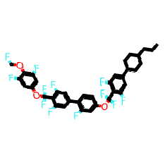 CCCC1CCC(c2cc(F)c(C(F)(F)Oc3ccc(-c4cc(F)c(C(F)(F)Oc5cc(F)c(OCF)c(F)c5)c(F)c4)c(F)c3)c(F)c2)CC1